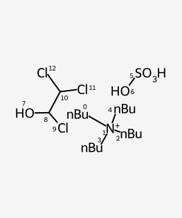 CCCC[N+](CCCC)(CCCC)CCCC.O=S(=O)(O)O.OC(Cl)C(Cl)Cl